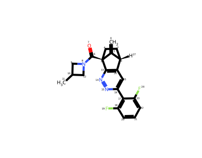 C=C1[C@@H]2CC[C@@]1(C(=O)N1CC(C)C1)c1nnc(-c3c(F)cccc3F)cc12